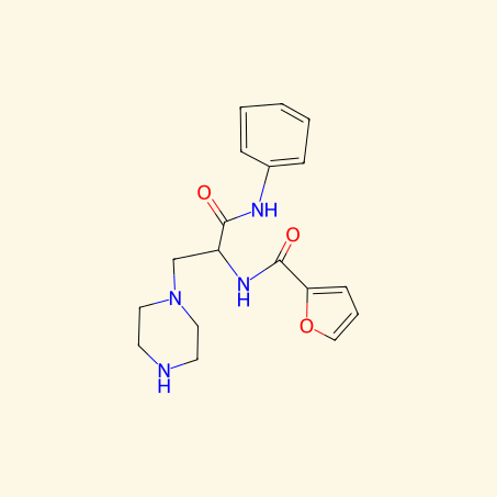 O=C(NC(CN1CCNCC1)C(=O)Nc1ccccc1)c1ccco1